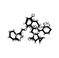 C[C@]1(C(=O)O)CCCCC1C(=O)N1CCc2c(Cl)ccc(OCc3nnc4n3CCCC4)c2C1CN1CC2(CC2)CC1=O